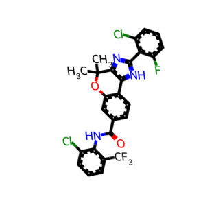 CC1(C)Oc2cc(C(=O)Nc3c(Cl)cccc3C(F)(F)F)ccc2-c2[nH]c(-c3c(F)cccc3Cl)nc21